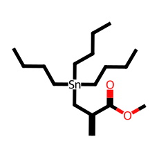 C=C([CH2][Sn]([CH2]CCC)([CH2]CCC)[CH2]CCC)C(=O)OC